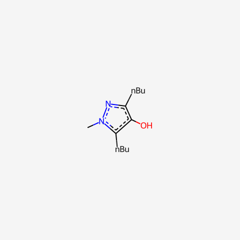 CCCCc1nn(C)c(CCCC)c1O